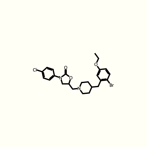 CCOc1ccc(Br)c(CC2CCN(CC3CN(c4ccc(Cl)cc4)C(=O)O3)CC2)c1